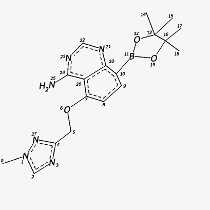 Cn1cnc(COc2ccc(B3OC(C)(C)C(C)(C)O3)c3ncnc(N)c23)n1